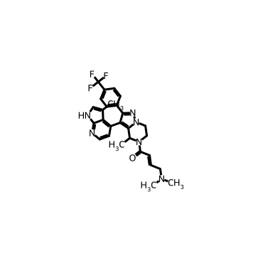 Cc1c[nH]c2nccc(-c3c(-c4ccc(C(F)(F)F)cc4)nn4c3C(C)N(C(=O)/C=C/CN(C)C)CC4)c12